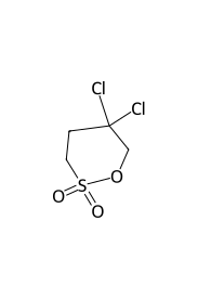 O=S1(=O)CCC(Cl)(Cl)CO1